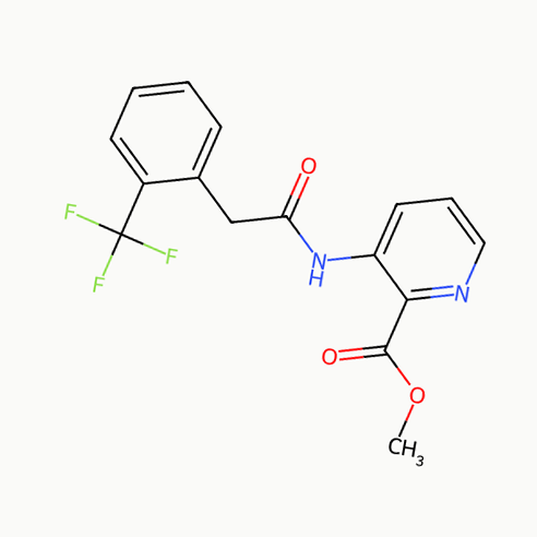 COC(=O)c1ncccc1NC(=O)Cc1ccccc1C(F)(F)F